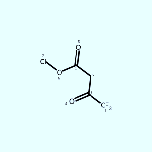 O=C(CC(=O)C(F)(F)F)OCl